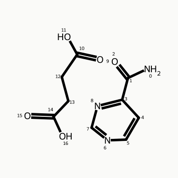 NC(=O)c1ccncn1.O=C(O)CCC(=O)O